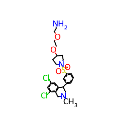 CN1Cc2c(Cl)cc(Cl)cc2C(c2cccc(S(=O)(=O)N3CCC(OCCOCCN)CC3)c2)C1